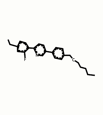 CCCCCCCc1ccc(-c2ccc(-c3ccc(CC)cc3F)nc2)cc1